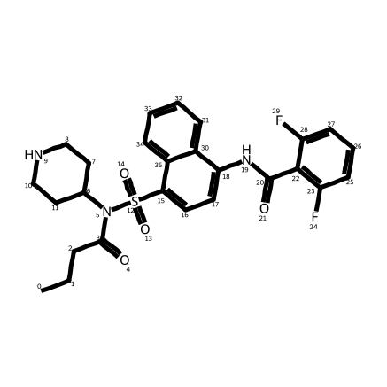 CCCC(=O)N(C1CCNCC1)S(=O)(=O)c1ccc(NC(=O)c2c(F)cccc2F)c2ccccc12